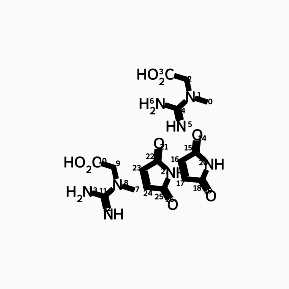 CN(CC(=O)O)C(=N)N.CN(CC(=O)O)C(=N)N.O=C1C=CC(=O)N1.O=C1C=CC(=O)N1